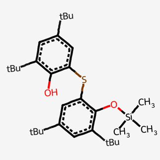 CC(C)(C)c1cc(Sc2cc(C(C)(C)C)cc(C(C)(C)C)c2O[Si](C)(C)C)c(O)c(C(C)(C)C)c1